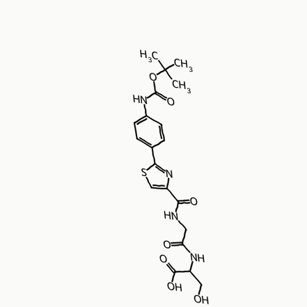 CC(C)(C)OC(=O)Nc1ccc(-c2nc(C(=O)NCC(=O)NC(CO)C(=O)O)cs2)cc1